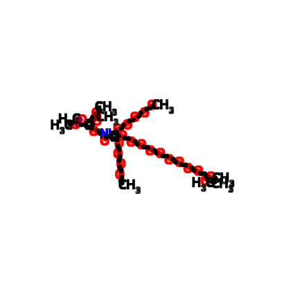 CCCOCCOCCOCCOc1cc(C(=O)NCCOc2cc(CP(C)(=O)OCC)cc(CP(C)(=O)OCC)c2)cc(OCCOCCOCCOCCOC)c1OCCOCCOCCOCCOCCOCCOCCOCCOCCC(=O)OC(C)(C)C